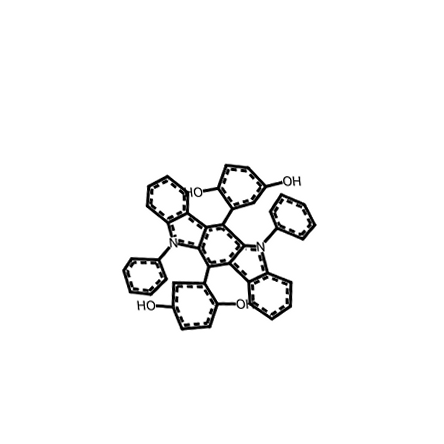 Oc1ccc(O)c(-c2c3c4ccccc4n(-c4ccccc4)c3c(-c3cc(O)ccc3O)c3c4ccccc4n(-c4ccccc4)c23)c1